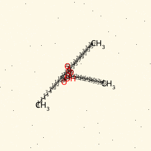 CCCCCCCCCCCCCCCC[C@H](CC(COC(=O)CCCCCCCCCCCCCCC)OC(=O)CCCCCCCCCCCCCCC)C(=O)O